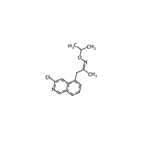 C/C(Cc1cccc2cnc(Cl)cc12)=N/OC(C)C